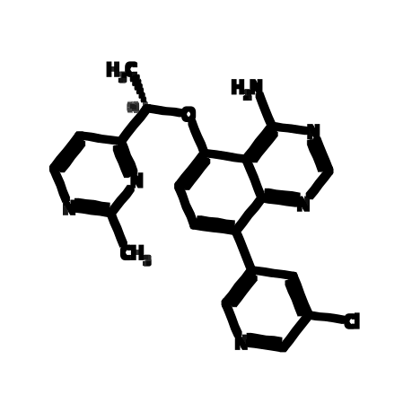 Cc1nccc([C@H](C)Oc2ccc(-c3cncc(Cl)c3)c3ncnc(N)c23)n1